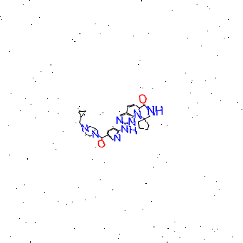 O=C1NCC2(CCCC2)N2c3nc(Nc4ccc(C(=O)N5CCN(CC6CC6)CC5)cn4)ncc3C=CC12